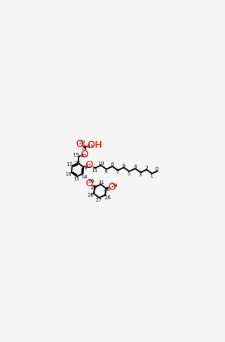 CCCCCCCCCCCCOc1ccccc1COC(=O)O.O=C1CCCC(=O)C1